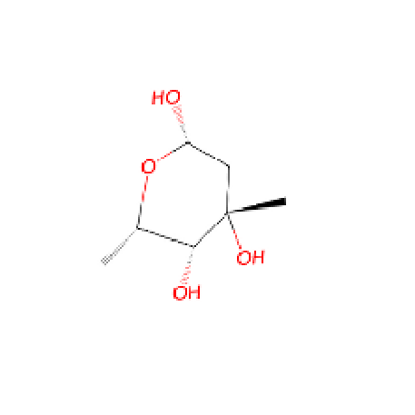 C[C@@H]1O[C@H](O)C[C@](C)(O)[C@@H]1O